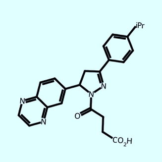 CC(C)c1ccc(C2=NN(C(=O)CCC(=O)O)C(c3ccc4nccnc4c3)C2)cc1